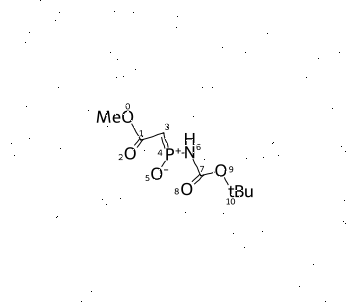 COC(=O)/C=[P+](\[O-])NC(=O)OC(C)(C)C